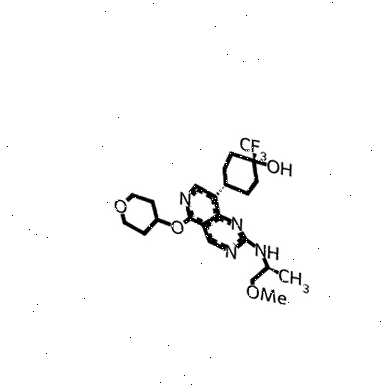 COC[C@H](C)Nc1ncc2c(OC3CCOCC3)ncc([C@H]3CC[C@](O)(C(F)(F)F)CC3)c2n1